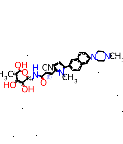 C[C@H]1C(O)O[C@H](CNC(=O)/C(C#N)=C/c2ccc(-c3ccc4cc(N5CCN(C)CC5)ccc4c3)n2C)[C@@H](O)[C@@H]1O